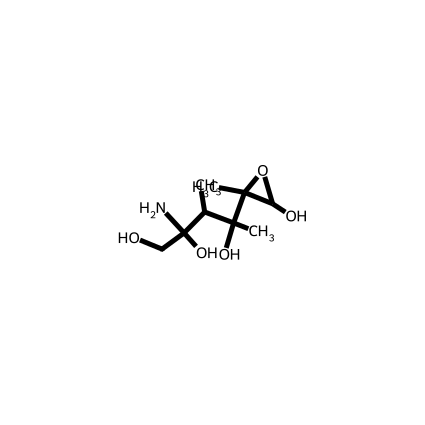 CC(C(N)(O)CO)C(C)(O)C1(C)OC1O